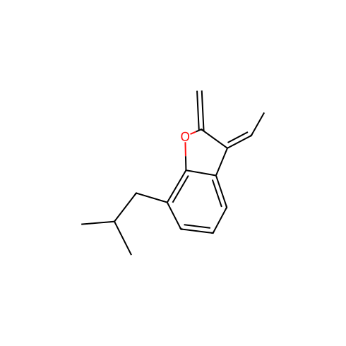 C=c1oc2c(CC(C)C)cccc2/c1=C/C